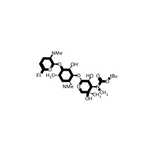 CCC1=CC[C@@H](NC)[C@@H](OC2[C@@H](C)C[C@@H](NC)[C@H](O[C@H]3OC[C@](C)(O)[C@H](N(C)C(=O)OC(C)(C)C)[C@H]3O)[C@H]2O)O1